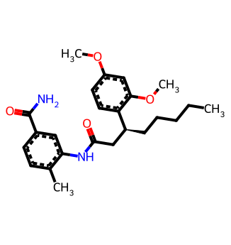 CCCCC[C@@H](CC(=O)Nc1cc(C(N)=O)ccc1C)c1ccc(OC)cc1OC